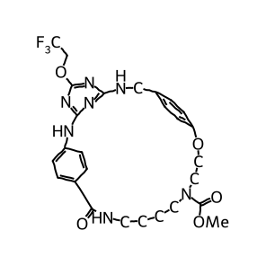 COC(=O)N1CCCCNC(=O)c2ccc(cc2)Nc2nc(nc(OCC(F)(F)F)n2)NCc2ccc(cc2)OCC1